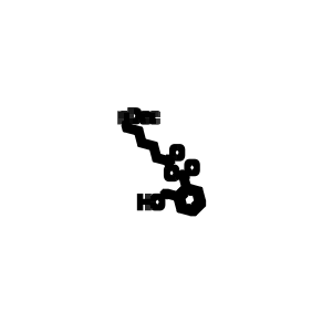 CCCCCCCCCCCCCCCC(=O)OC(=O)c1ccccc1CO